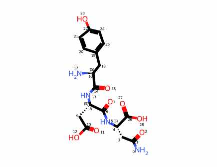 NC(=O)C[C@H](NC(=O)[C@H](CC(=O)O)NC(=O)[C@@H](N)Cc1ccc(O)cc1)C(=O)O